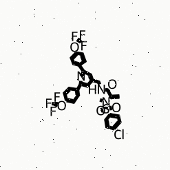 C=C(C(=O)NCc1cc(-c2ccc(OC(F)(F)F)cc2)nc(-c2ccc(OC(F)(F)F)cc2)c1)N(C)S(=O)(=O)c1ccc(Cl)cc1